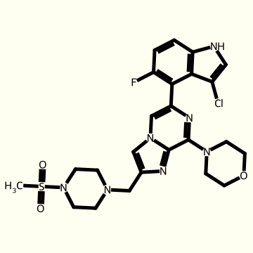 CS(=O)(=O)N1CCN(Cc2cn3cc(-c4c(F)ccc5[nH]cc(Cl)c45)nc(N4CCOCC4)c3n2)CC1